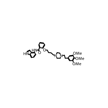 COc1cc(CCN2CCN(CCCCOc3ccccc3C(=O)Nc3cccc4[nH]ccc34)CC2)cc(OC)c1OC